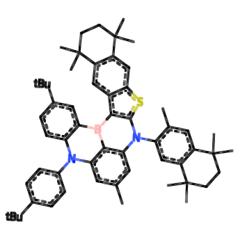 Cc1cc2c3c(c1)N(c1cc4c(cc1C)C(C)(C)CCC4(C)C)c1sc4cc5c(cc4c1B3c1cc(C(C)(C)C)ccc1N2c1ccc(C(C)(C)C)cc1)C(C)(C)CCC5(C)C